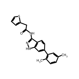 Cc1ccc(C)c(-c2ccc3c(NC(=O)Cc4cccs4)n[nH]c3c2)c1